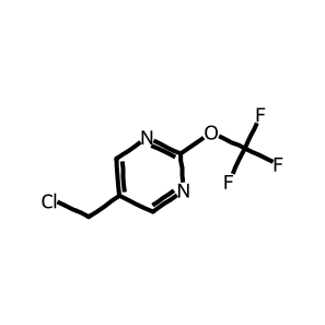 FC(F)(F)Oc1ncc(CCl)cn1